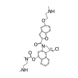 CNCCOc1ccc2oc(C(=O)N3C[C@@H](CCl)c4c3cc(OC(=O)N(C)CCNC)c3ccccc43)cc2c1